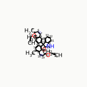 C#CCOC(=C)/C=C\c1cc(C2(c3ccc(C)c(/C=C\C(=C)OCC#C)c3)C(=O)Nc3ccccc32)ccc1C